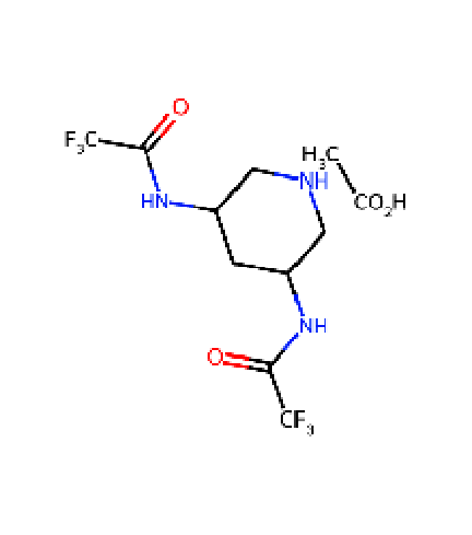 CC(=O)O.O=C(NC1CNCC(NC(=O)C(F)(F)F)C1)C(F)(F)F